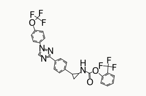 O=C(NC1CC1c1ccc(-c2ncn(-c3ccc(OC(F)(F)F)cc3)n2)cc1)Oc1ccccc1C(F)(F)F